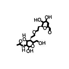 CC(=O)NC1C(O)[C@H](CCOCC[C@@H]2OC(C=O)=CC(O)C2O)C(CO)O[C@H]1O